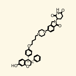 O=C1CCC(N2Cc3cc(N4CCN(CCCCOc5ccc([C@H]6c7ccc(O)cc7OC[C@H]6c6ccccc6)cc5)CC4)ccc3C2=O)C(=O)N1